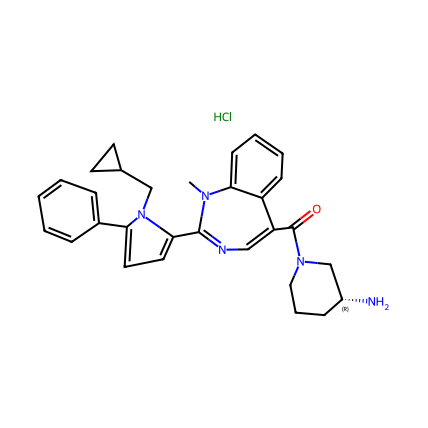 CN1C(c2ccc(-c3ccccc3)n2CC2CC2)=NC=C(C(=O)N2CCC[C@@H](N)C2)c2ccccc21.Cl